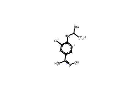 CC(C)(C)C(Nc1ncc(/C(N)=N\O)cc1Cl)C(=O)O